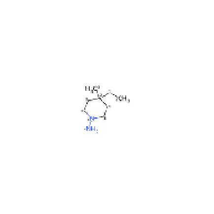 CCC1(C)CCN(N)CC1